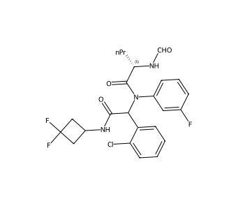 CCC[C@H](NC=O)C(=O)N(c1cccc(F)c1)C(C(=O)NC1CC(F)(F)C1)c1ccccc1Cl